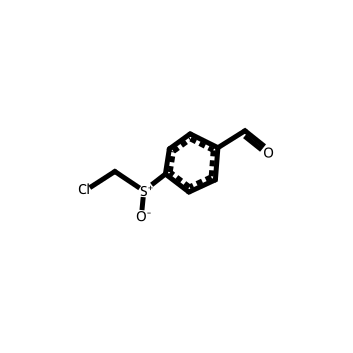 O=Cc1ccc([S+]([O-])CCl)cc1